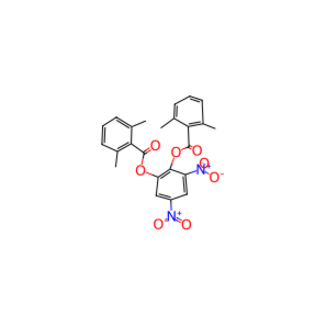 Cc1cccc(C)c1C(=O)Oc1cc([N+](=O)[O-])cc([N+](=O)[O-])c1OC(=O)c1c(C)cccc1C